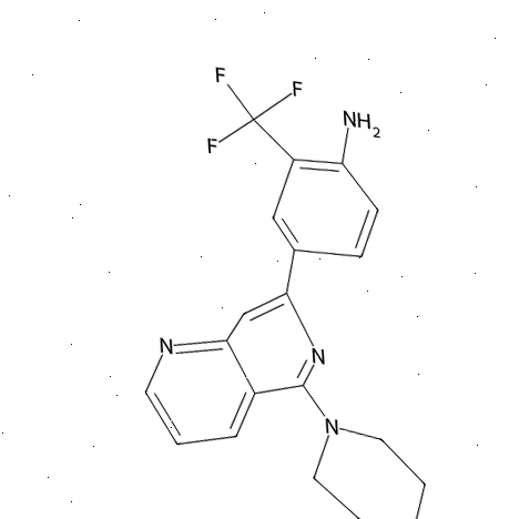 Nc1ccc(-c2cc3ncccc3c(N3CCOCC3)n2)cc1C(F)(F)F